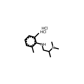 Cc1cccc(C)c1NCC(C)N(C)C.Cl.Cl